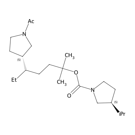 CCC(CCC(C)(C)OC(=O)N1CC[C@@H](C(C)C)C1)[C@@H]1CCN(C(C)=O)C1